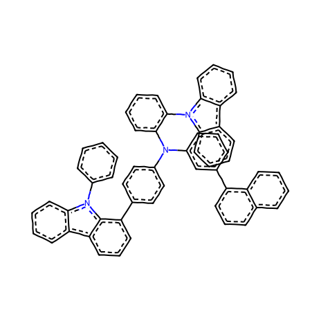 c1ccc(-n2c3ccccc3c3cccc(-c4ccc(N(c5cccc(-c6cccc7ccccc67)c5)c5ccccc5-n5c6ccccc6c6ccccc65)cc4)c32)cc1